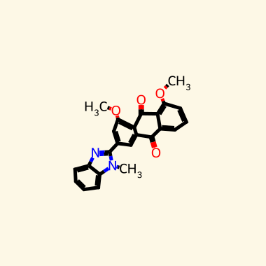 COc1cccc2c1C(=O)c1c(OC)cc(-c3nc4ccccc4n3C)cc1C2=O